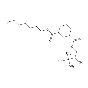 CCCCCCCOC(=O)C1CCCC(C(=O)OCC(C)C(C)(C)C)C1